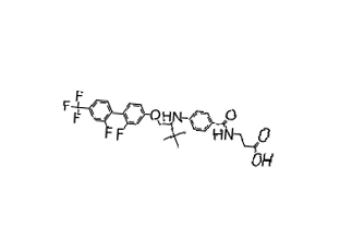 CC(C)(C)C(COc1ccc(-c2ccc(C(F)(F)F)cc2F)c(F)c1)Nc1ccc(C(=O)NCCC(=O)O)cc1